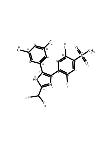 CS(=O)(=O)c1cc(F)c(-c2nc(C(F)F)[nH]c2-c2cc(Cl)cc(Cl)c2)cc1F